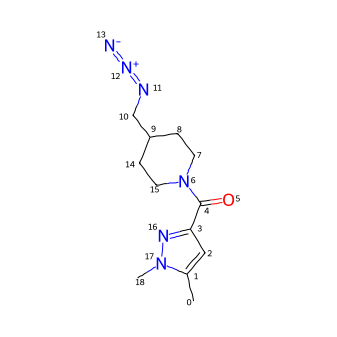 Cc1cc(C(=O)N2CCC(CN=[N+]=[N-])CC2)nn1C